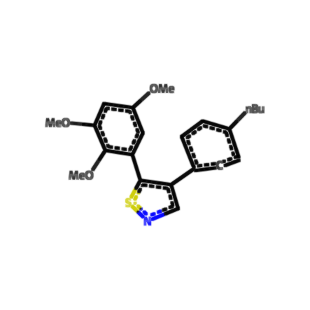 CCCCc1ccc(-c2cnsc2-c2cc(OC)cc(OC)c2OC)cc1